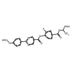 CCCCCCCCOc1ccc(-c2ncc(C(=O)Oc3ccc(C(=O)OC(CCCCCC)C(F)(F)F)cc3F)cn2)cc1